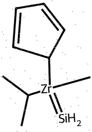 C[CH](C)[Zr]([CH3])(=[SiH2])[CH]1C=CC=C1